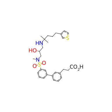 CN(CC(O)CNC(C)(C)CCCc1ccsc1)S(=O)(=O)c1cccc(-c2cccc(CCC(=O)O)c2)c1